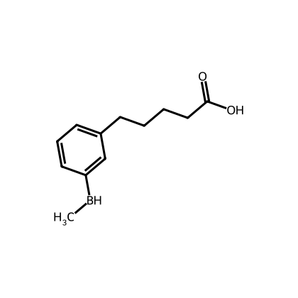 CBc1cccc(CCCCC(=O)O)c1